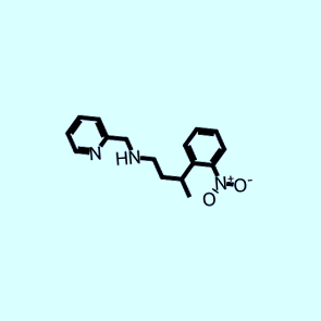 CC(CCNCc1ccccn1)c1ccccc1[N+](=O)[O-]